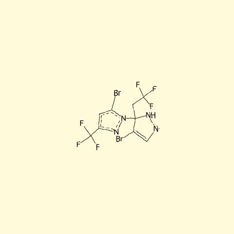 FC(F)(F)CC1(n2nc(C(F)(F)F)cc2Br)N[N]C=C1Br